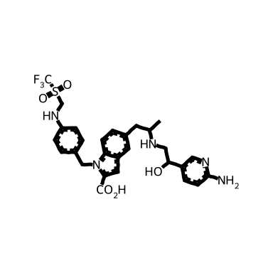 CC(Cc1ccc2c(c1)cc(C(=O)O)n2Cc1ccc(NCS(=O)(=O)C(F)(F)F)cc1)NCC(O)c1ccc(N)nc1